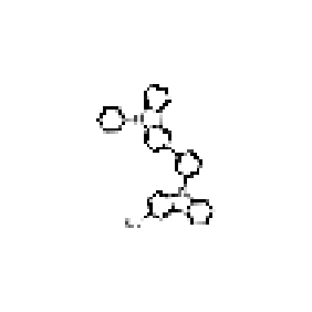 CCC(C)c1ccc2c(c1)c1ccccc1n2-c1cccc(-c2ccc3c(c2)c2ccccc2n3-c2ccccc2)c1